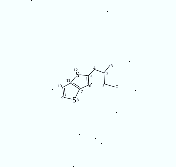 CCC(C)Cc1cc2sccc2s1